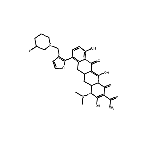 CN(C)[C@@H]1C(O)=C(C(N)=O)C(=O)C2C(O)=C3C(=O)c4c(O)ccc(-c5occc5CN5CCCC(F)C5)c4CC3CC21